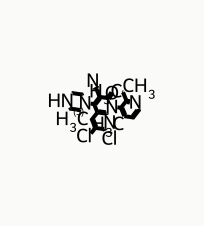 Cc1ccnc(C(C)C)c1-n1c(=O)c(C#N)c(N2CCNC[C@@H]2C)c2cc(Cl)c(Cl)nc21